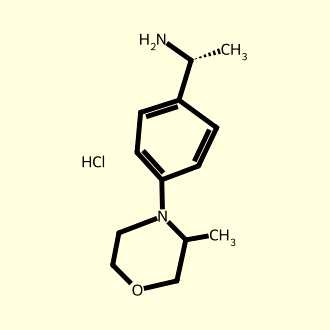 CC1COCCN1c1ccc([C@@H](C)N)cc1.Cl